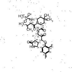 CC(C)[C@H](NS(C)(=O)=O)C(=O)N1CCC(C)(C)C[C@@H]1C(=O)N[C@@H](C[C@@H]1CCNC1=O)C(=O)COc1ccc(F)cc1F